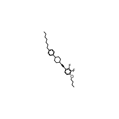 CCCCCCCc1ccc(C2CCC(C#Cc3ccc(OCCCC)c(F)c3F)CC2)cc1